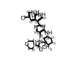 C[C@@]1(NC(=O)N2CCOCC2)CCC[C@@H](Nc2nc(C3=CN[C@@H]4NC=C(Cl)C=C34)ncc2F)C1